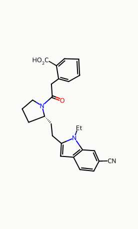 CCn1c(CC[C@@H]2CCCN2C(=O)Cc2ccccc2C(=O)O)cc2ccc(C#N)cc21